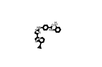 Nc1ccccc1NC(=O)c1ccc(Nc2nc(-c3cnc4c(C5CC5)cccn34)cs2)cc1